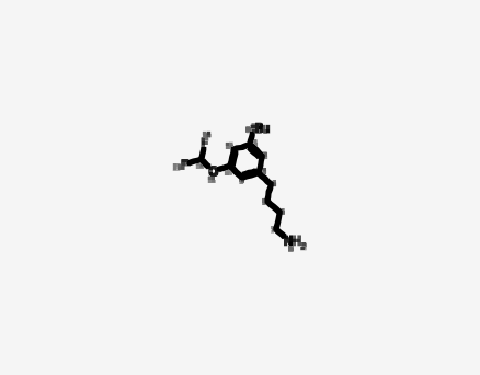 CC(C)(C)c1cc(CCCCN)cc(OC(F)F)c1